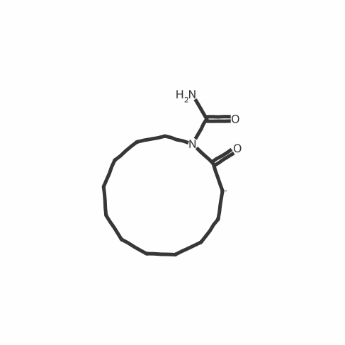 NC(=O)N1CCCCCCCCCC[CH]C1=O